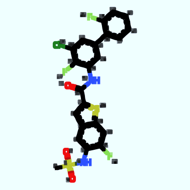 CS(=O)(=O)Nc1cc2cc(C(=O)Nc3cc(-c4ccccc4F)cc(Cl)c3F)sc2cc1F